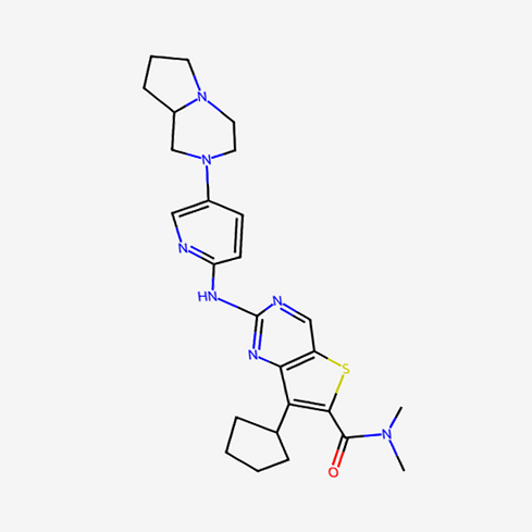 CN(C)C(=O)c1sc2cnc(Nc3ccc(N4CCN5CCCC5C4)cn3)nc2c1C1CCCC1